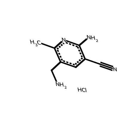 Cc1nc(N)c(C#N)cc1CN.Cl